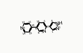 c1cn[nH]c1.c1cncc(-c2ccncc2)c1